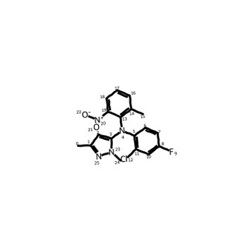 Cc1cc(N(c2ccc(F)cc2Cl)c2c(C)cccc2[N+](=O)[O-])n(C)n1